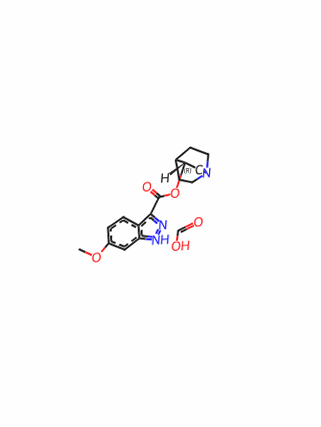 COc1ccc2c(C(=O)O[C@H]3CN4CCC3CC4)n[nH]c2c1.O=CO